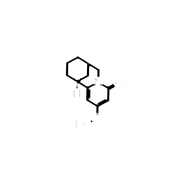 COc1cc2n(c(=O)c1)CC1CCC[C@@H]2C1